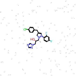 C[C@H]([C@H](O)Cn1cncn1)N1CC(Cc2ccc(Cl)cc2)=CN1c1ccc(F)cc1F